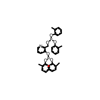 Cc1ccccc1OP(OCc1ncccc1OP(Oc1ccccc1C)Oc1ccccc1C)Oc1ccccc1C